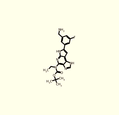 CCN(C(=O)OC(C)(C)C)c1nc2[nH]c(-c3cc(F)cc(CN)c3)cc2c2[nH]cnc12